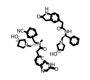 CN(C(=O)Cc1ccc2ncc(=O)[nH]c2c1)[C@H](CN1CC[C@H](O)C1)c1cccc(C#N)c1.O=C1Cc2cc(CC(=O)N[C@H](CN3CC[C@H](O)C3)c3ccccc3)ccc2N1